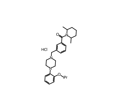 CC(C)Oc1ccccc1N1CCN(Cc2cccc(C(=O)N3C(C)CCCC3C)c2)CC1.Cl